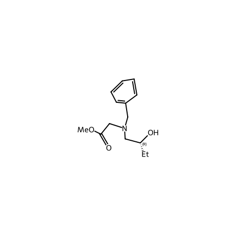 CC[C@@H](O)CN(CC(=O)OC)Cc1ccccc1